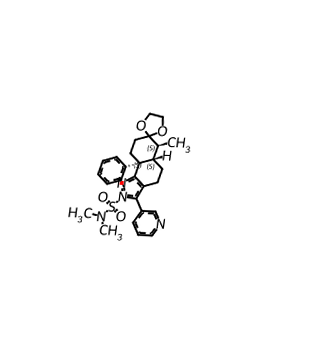 C[C@H]1[C@@H]2CCc3c(nn(S(=O)(=O)N(C)C)c3-c3cccnc3)[C@@]2(c2ccccc2)CCC12OCCO2